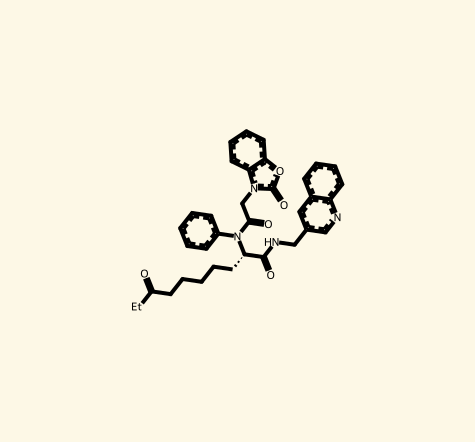 CCC(=O)CCCCC[C@@H](C(=O)NCc1cnc2ccccc2c1)N(C(=O)Cn1c(=O)oc2ccccc21)c1ccccc1